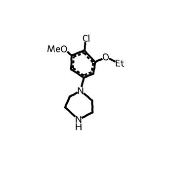 CCOc1cc(N2CCNCC2)cc(OC)c1Cl